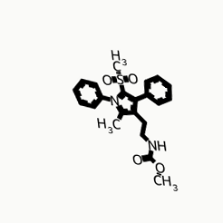 COC(=O)NCCc1c(-c2ccccc2)c(S(C)(=O)=O)n(-c2ccccc2)c1C